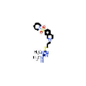 CNc1nnc(SCCCN2CCc3ccc(S(=O)(=O)N4CCCCCC4)cc3C2)n1C